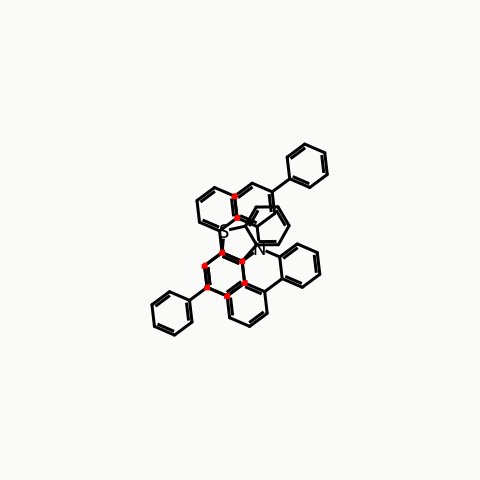 c1ccc(-c2cccc(N(c3ccc(-c4ccccc4)cc3-c3ccccc3)c3ccccc3-c3cccc4ccc5sc6ccccc6c5c34)c2)cc1